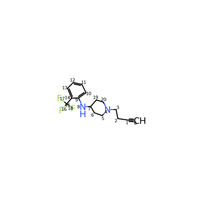 C#CCCN1CCC(Nc2ccccc2C(F)(F)F)CC1